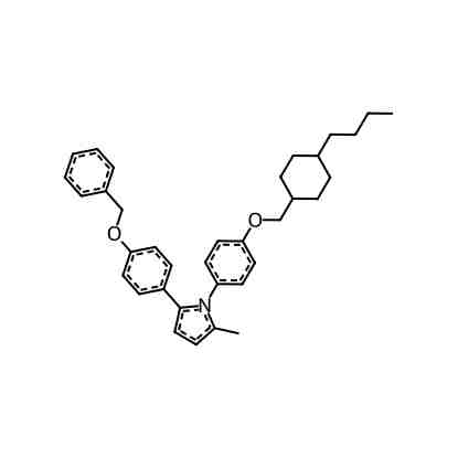 CCCCC1CCC(COc2ccc(-n3c(C)ccc3-c3ccc(OCc4ccccc4)cc3)cc2)CC1